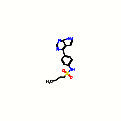 CCCCS(=O)(=O)Nc1ccc(-c2ncnc3[nH]ccc23)cc1